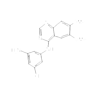 COc1cc2ncnc(Nc3cc(N)cc(Cl)c3)c2cc1OC